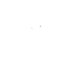 CCCC[C@@H](COC(=O)N(Cc1ccc(Br)cc1)Cc1cccs1)NC(=O)OC(C)(C)C